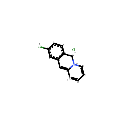 Clc1ccc2c(c1)C=C1[C+]=CC=CN1C2.[Cl-]